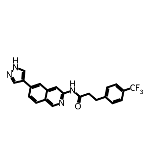 O=C(CCc1ccc(C(F)(F)F)cc1)Nc1cc2cc(-c3cn[nH]c3)ccc2cn1